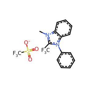 C[n+]1c(C(F)(F)F)n(-c2ccccc2)c2ccccc21.O=S(=O)([O-])C(F)(F)F